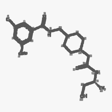 COc1cc(Cl)cc(C(=O)NCC2CCN(CC(=O)N[C@H](C)CO)CC2)c1